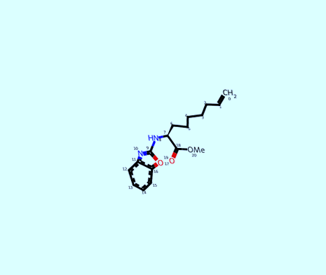 C=CCCCCC[C@H](Nc1nc2ccccc2o1)C(=O)OC